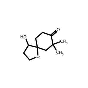 CC1(C)CC2(CCC1=O)OCCC2O